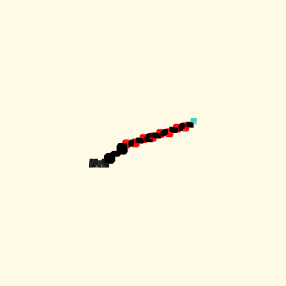 CNc1ccc(C=Cc2ccc(OCCOCCOCCOCCOCCOCCOCCOCCF)cc2)cc1